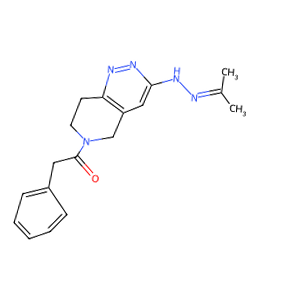 CC(C)=NNc1cc2c(nn1)CCN(C(=O)Cc1ccccc1)C2